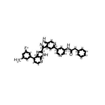 Cc1cc(F)cc(-c2ccnc3[nH]c(-c4n[nH]c5cnc(-c6cncc(NC(=O)Cc7ccccc7)c6)cc45)nc23)c1